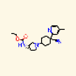 CCOC(=O)N[C@H]1CCN(C2CCC(C#N)(c3cc(C)ccn3)CC2)C1